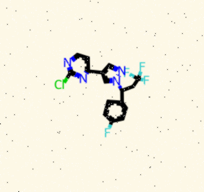 Fc1ccc(C(CC(F)(F)F)n2cc(-c3ccnc(Cl)n3)cn2)cc1